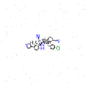 C[C@H](N[C@@H](c1cccc(-c2ccncc2)c1)C(C)(C)C#N)C(Cc1ccc(Cl)cc1)c1cccc(C#N)c1